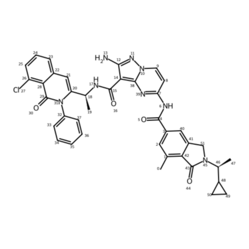 Cc1cc(C(=O)Nc2ccn3nc(N)c(C(=O)N[C@@H](C)c4cc5cccc(Cl)c5c(=O)n4-c4ccccc4)c3n2)cc2c1C(=O)N([C@@H](C)C1CC1)C2